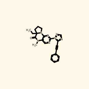 CCC12CCCN1c1nc(-n3ncnc3C#Cc3ccccc3)ncc1N(C)C2=O